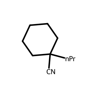 CCCC1(C#N)CCCCC1